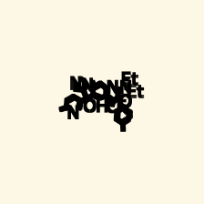 CCN(CC)c1nc2ccc(C(O)(c3ccc(C)nc3)c3cncn3C)cc2c(C(F)(F)F)c1Oc1ccc(C)cc1